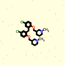 CN1CCCC(COc2ccc(Cl)cc2Cc2cc(Cl)ccc2OCC2CCCN(C)C2)C1